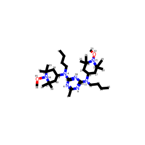 CCCCN(c1nc(C)nc(N(CCCC)C2CC(C)(C)N(OC)C(C)(C)C2)n1)C1CC(C)(C)N(OC)C(C)(C)C1